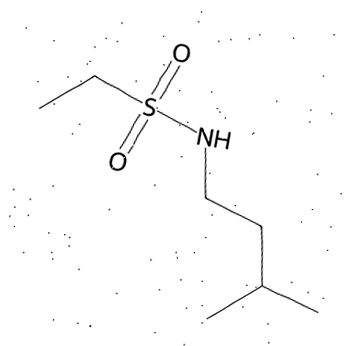 CCS(=O)(=O)NCCC(C)C